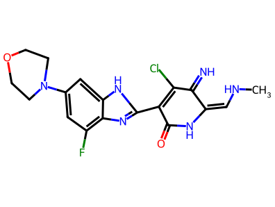 CN/C=C1/NC(=O)C(c2nc3c(F)cc(N4CCOCC4)cc3[nH]2)=C(Cl)C1=N